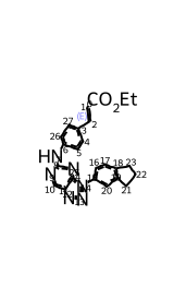 CCOC(=O)/C=C/c1ccc(Nc2ncc3nnn(-c4ccc5c(c4)CCC5)c3n2)cc1